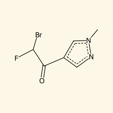 Cn1cc(C(=O)C(F)Br)cn1